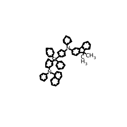 CC1(C)c2ccccc2-c2cc(N(c3ccccc3)c3ccc([Si](c4ccccc4)(c4ccccc4)c4cccc(N(c5ccccc5)c5cccc6ccccc56)c4)cc3)ccc21